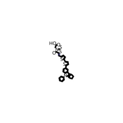 O=C(O)CN1C(=O)/C(=C/c2ccc(-c3ccc(-c4ccc5c(c4)C4C6CCC(C6)C4N5c4ccccc4)s3)s2)SC1=S